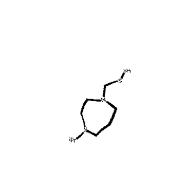 CC(C)N1CCCN(CSS)CC1